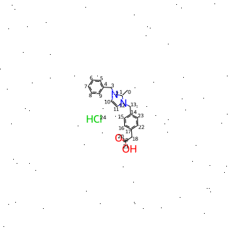 CC1N(Cc2ccccc2)C=CN1Cc1ccc(CC(=O)O)cc1.Cl